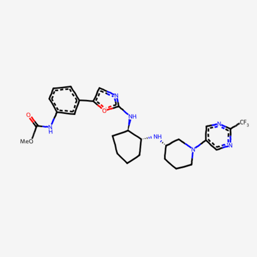 COC(=O)Nc1cccc(-c2cnc(N[C@@H]3CCCC[C@H]3N[C@H]3CCCN(c4cnc(C(F)(F)F)nc4)C3)o2)c1